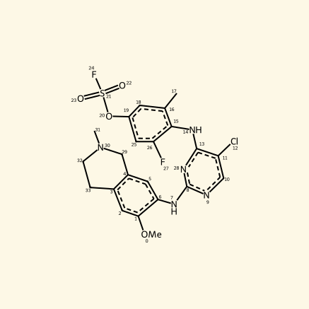 COc1cc2c(cc1Nc1ncc(Cl)c(Nc3c(C)cc(OS(=O)(=O)F)cc3F)n1)CN(C)CC2